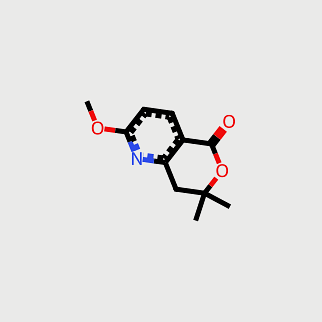 COc1ccc2c(n1)CC(C)(C)OC2=O